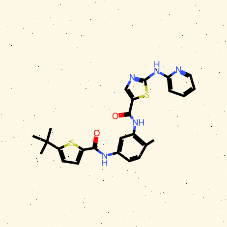 Cc1ccc(NC(=O)c2ccc(C(C)(C)C)s2)cc1NC(=O)c1cnc(Nc2ccccn2)s1